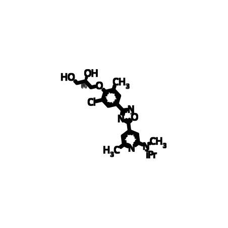 Cc1cc(-c2nc(-c3cc(C)c(OC[C@H](O)CO)c(Cl)c3)no2)cc(N(C)C(C)C)n1